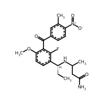 CC[C@@H](NC(C)CC(N)=O)c1ccc(OC)c(C(=O)c2ccc([N+](=O)[O-])c(C)c2)c1F